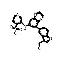 CS(=O)(=O)c1ccncc1Nc1cc(-c2ccc3occ(CCl)c3c2)c2nccnc2c1